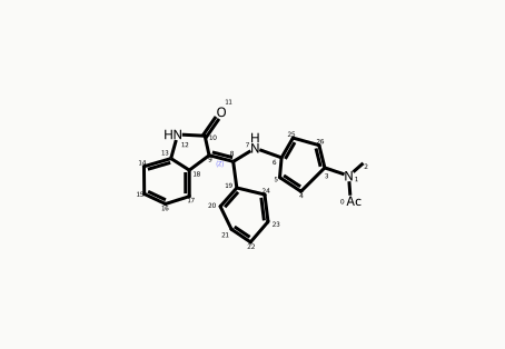 CC(=O)N(C)c1ccc(N/C(=C2\C(=O)Nc3ccccc32)c2ccccc2)cc1